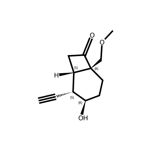 C#C[C@H]1[C@H](O)CC[C@@]2(COC)C(=O)C[C@@H]12